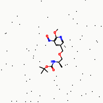 COc1ncc(COC[C@@H](C)NC(=O)OC(C)(C)C)cc1N=O